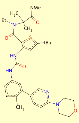 CCN(C(=O)c1sc(C(C)(C)C)cc1NC(=O)Nc1ccc(C)c(-c2ccc(N3CCOCC3)nc2)c1)C(C)(C)C(=O)NC